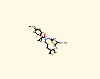 CCOC(=O)c1nc(CN(CCCc2ccsc2)C(=O)C2(c3ccc(OC)cc3)CC2)sc1C